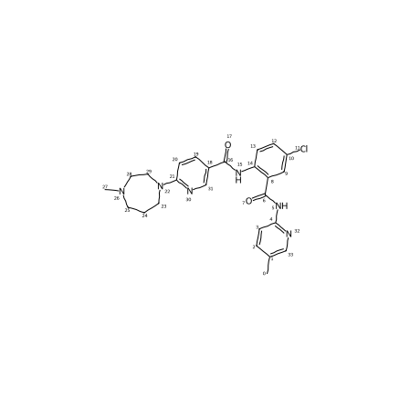 Cc1ccc(NC(=O)c2cc(Cl)ccc2NC(=O)c2ccc(N3CCCN(C)CC3)nc2)nc1